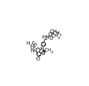 COC(=O)[C@@H]1C[C@@H](N(C(C)=O)c2ccc(CCNC(=O)OC(C)(C)C)cc2)c2c(Cl)cc(Cl)cc2N1